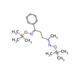 C/C(CC/C(=N/O[Si](C)(C)C)c1ccccc1)=N\O[Si](C)(C)C